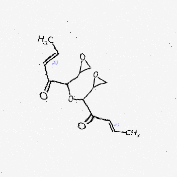 C/C=C/C(=O)C(OC(C(=O)/C=C/C)C1CO1)C1CO1